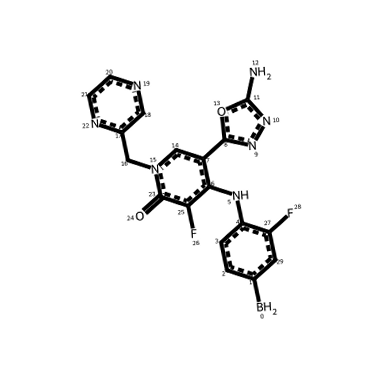 Bc1ccc(Nc2c(-c3nnc(N)o3)cn(Cc3cnccn3)c(=O)c2F)c(F)c1